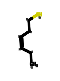 CC/C=C\CCS